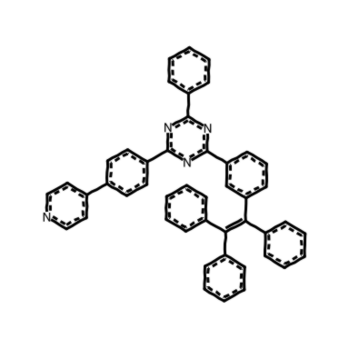 c1ccc(C(=C(c2ccccc2)c2cccc(-c3nc(-c4ccccc4)nc(-c4ccc(-c5ccncc5)cc4)n3)c2)c2ccccc2)cc1